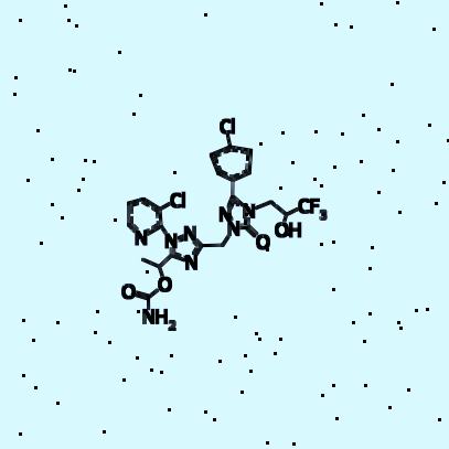 CC(OC(N)=O)c1nc(Cn2nc(-c3ccc(Cl)cc3)n(CC(O)C(F)(F)F)c2=O)nn1-c1ncccc1Cl